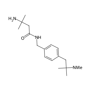 CNC(C)(C)Cc1ccc(CNC(=O)CC(C)(C)N)cc1